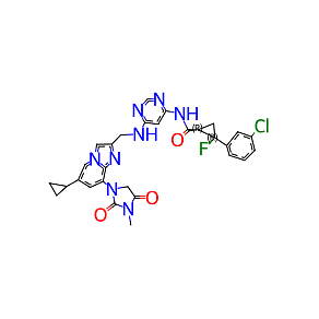 CN1C(=O)CN(c2cc(C3CC3)cn3cc(CNc4cc(NC(=O)[C@H]5C[C@]5(F)c5cccc(Cl)c5)ncn4)nc23)C1=O